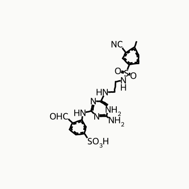 C=C(/N=C(\N=C(N)N)Nc1cc(S(=O)(=O)O)ccc1C=O)NCCNS(=O)(=O)c1ccc(C)c(C#N)c1